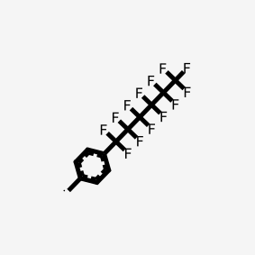 [CH2]c1ccc(C(F)(F)C(F)(F)C(F)(F)C(F)(F)C(F)(F)C(F)(F)F)cc1